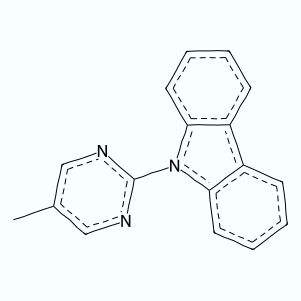 Cc1cnc(-n2c3ccccc3c3ccccc32)nc1